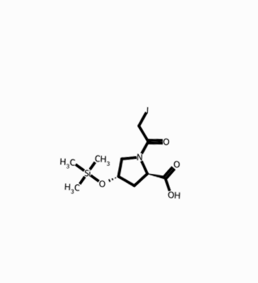 C[Si](C)(C)O[C@H]1C[C@H](C(=O)O)N(C(=O)CI)C1